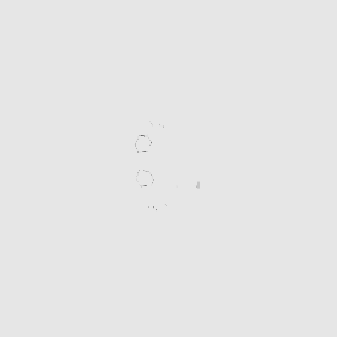 CN(C)C(=O)c1ccc(Oc2ccc([S+]([O-])C3(C(=O)NO)CCC4(CCNCC4)C3)cc2)cc1